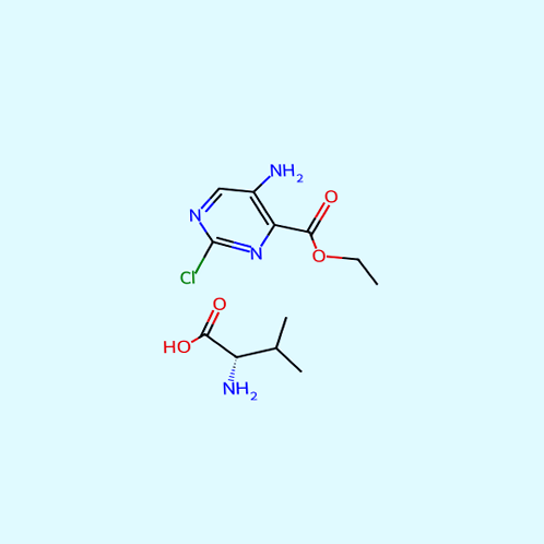 CC(C)[C@H](N)C(=O)O.CCOC(=O)c1nc(Cl)ncc1N